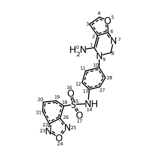 NC1=c2ccoc2=NCN1c1ccc(NS(=O)(=O)c2cccc3nonc23)cc1